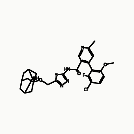 COc1ccc(Cl)c(F)c1-c1cc(C)ncc1C(=O)Nc1nnc(COC23CC4CC(C2)C(O)C(C4)C3)s1